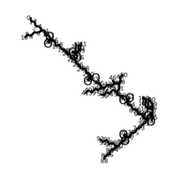 CCCCCC(CCCCC)CCOC(=O)CCCCCCCCC(CCCCCCC(=O)OCCC(CCCCC)CCCC(C)C(CCC)CC(CCCCC)CCOC(=O)CCCCCCCC1(CCCCCCCC(=O)OCCC(CCCCC)CCCCC)OCC(CN2CCN(C)CC2)O1)OC(=O)CN(C)C